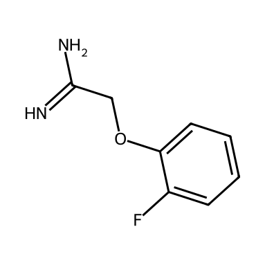 N=C(N)COc1ccccc1F